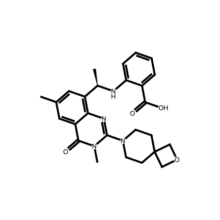 Cc1cc([C@@H](C)Nc2ccccc2C(=O)O)c2nc(N3CCC4(CC3)COC4)n(C)c(=O)c2c1